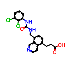 O=C(O)CCc1ccc(CNC(=O)Nc2cccc(Cl)c2Cl)c2cnccc12